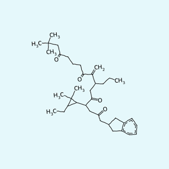 C=C(C(=O)CCCC(=O)CC(C)(C)C)C(CCC)CC(=O)C(CC(=O)CC1Cc2ccccc2C1)C1C(CC)C1(C)C